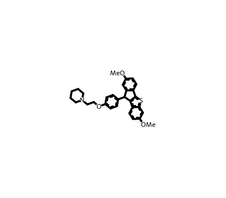 COc1ccc2c(c1)C(c1ccc(OCCN3CCCCC3)cc1)c1c-2sc2cc(OC)ccc12